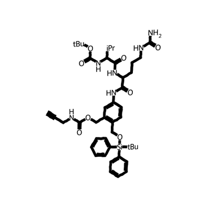 C#CCNC(=O)OCc1cc(NC(=O)C(CCCNC(N)=O)NC(=O)C(NC(=O)OC(C)(C)C)C(C)C)ccc1CO[Si](c1ccccc1)(c1ccccc1)C(C)(C)C